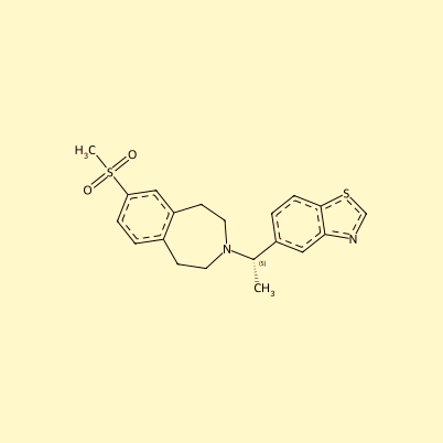 C[C@@H](c1ccc2scnc2c1)N1CCc2ccc(S(C)(=O)=O)cc2CC1